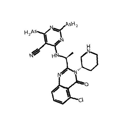 C[C@H](Nc1nc([AsH2])nc([AsH2])c1C#N)c1nc2cccc(Cl)c2c(=O)n1[C@H]1CCCNC1